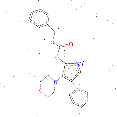 O=C(OCc1ccccc1)Oc1[nH]cc(-c2ccccc2)c1N1CCOCC1